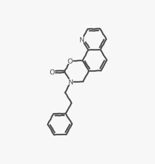 O=C1Oc2c(ccc3cccnc23)CN1CCc1ccccc1